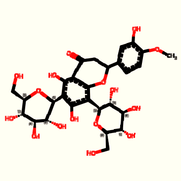 COc1ccc(C2CC(=O)c3c(O)c([C@@H]4O[C@H](CO)[C@@H](O)[C@H](O)[C@H]4O)c(O)c([C@@H]4O[C@H](CO)[C@@H](O)[C@H](O)[C@H]4O)c3O2)cc1O